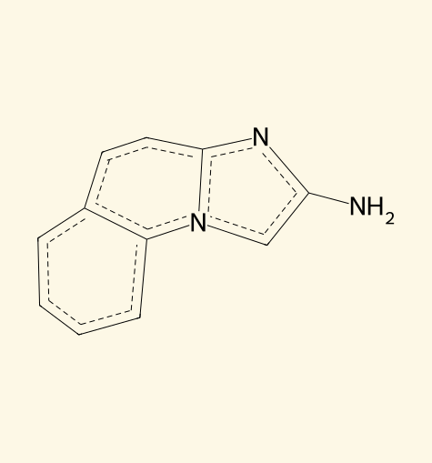 Nc1cn2c(ccc3ccccc32)n1